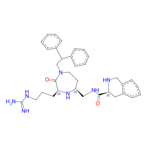 N=C(N)NCCC[C@@H]1N[C@H](CNC(=O)[C@@H]2Cc3ccccc3CN2)CCN(CC(c2ccccc2)c2ccccc2)C1=O